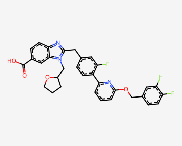 O=C(O)c1ccc2nc(Cc3ccc(-c4cccc(OCc5ccc(F)c(F)c5)n4)c(F)c3)n(CC3CCCO3)c2c1